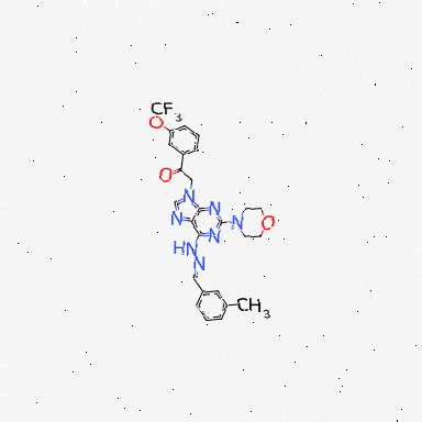 Cc1cccc(C=NNc2nc(N3CCOCC3)nc3c2ncn3CC(=O)c2cccc(OC(F)(F)F)c2)c1